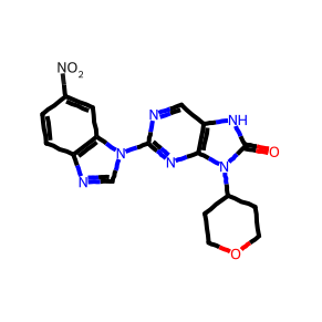 O=c1[nH]c2cnc(-n3cnc4ccc([N+](=O)[O-])cc43)nc2n1C1CCOCC1